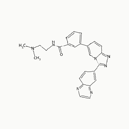 CN(C)CCNC(=O)c1cccc(-c2ccc3nnc(-c4ccc5nccnc5c4)n3c2)c1